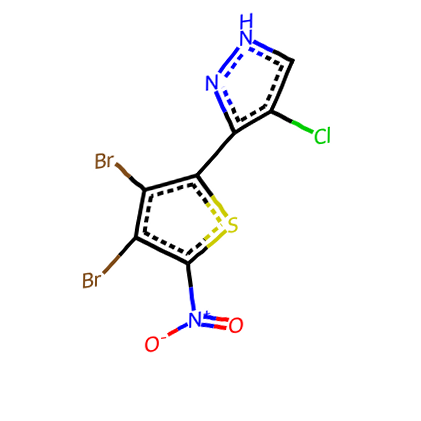 O=[N+]([O-])c1sc(-c2n[nH]cc2Cl)c(Br)c1Br